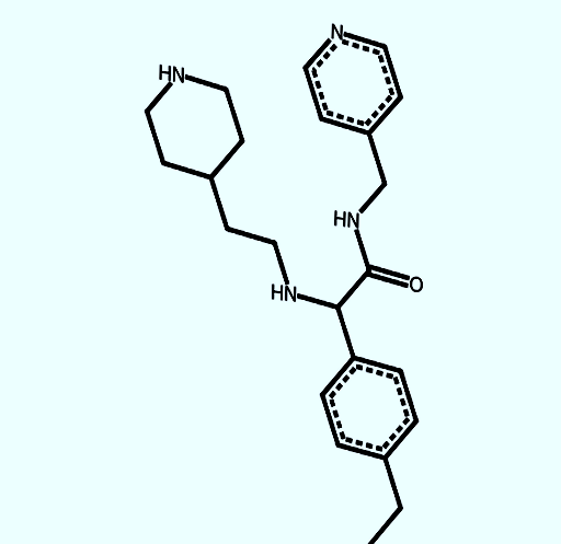 CCc1ccc(C(NCCC2CCNCC2)C(=O)NCc2ccncc2)cc1